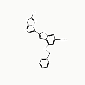 COc1cc(OCc2ccccc2)c2cc(-c3cnc4sc(Br)nn34)oc2c1